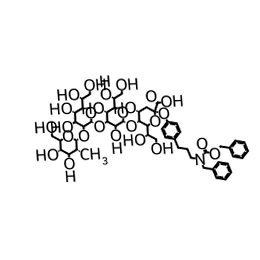 C[C@@H]1C(O)[C@H](O)C(CO)O[C@@H]1OC1C(O)[C@H](O)[C@H]([C@@H](O)CO)O[C@@H]1O[C@@H]1C(O)[C@@H](O[C@H]2C([C@H](O)CO)O[C@@](Oc3ccc(CCCN(Cc4ccccc4)C(=O)OCc4ccccc4)cc3)(C(=O)O)C[C@H]2O)OC([C@@H](O)CO)[C@H]1O